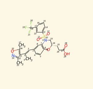 C/C(=C\c1ccc2c(c1)N(S(=O)(=O)c1cccc(C(F)(F)F)c1)C[C@H](CCC(=O)O)O2)c1c(C)noc1C